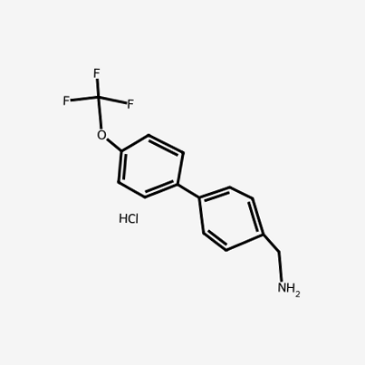 Cl.NCc1ccc(-c2ccc(OC(F)(F)F)cc2)cc1